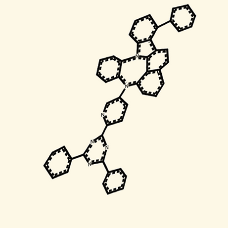 c1ccc(-c2nc(-c3ccccc3)nc(-c3ccc(-n4c5cccc6ccc7c8c(-c9ccccc9)cccc8n(c8ccccc84)c7c65)cn3)n2)cc1